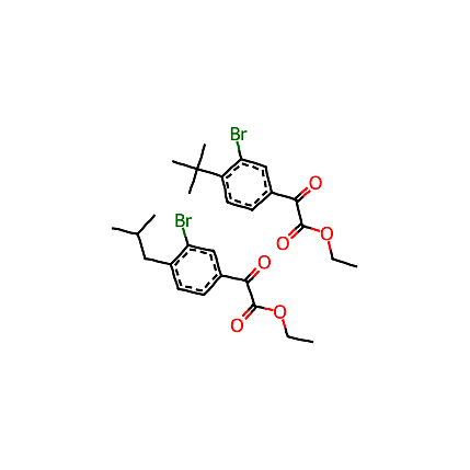 CCOC(=O)C(=O)c1ccc(C(C)(C)C)c(Br)c1.CCOC(=O)C(=O)c1ccc(CC(C)C)c(Br)c1